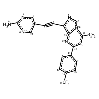 Nc1ncc(C#Cc2ncn3c(C(F)(F)F)cc(-c4ccc(C(F)(F)F)cc4)nc23)cn1